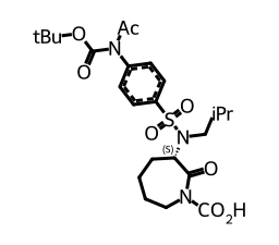 CC(=O)N(C(=O)OC(C)(C)C)c1ccc(S(=O)(=O)N(CC(C)C)[C@H]2CCCCN(C(=O)O)C2=O)cc1